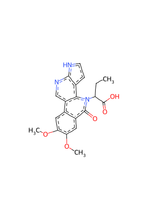 CCC(C(=O)O)n1c(=O)c2cc(OC)c(OC)cc2c2cnc3[nH]ccc3c21